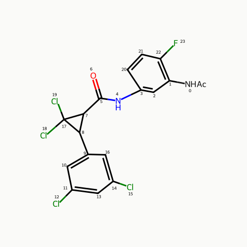 CC(=O)Nc1cc(NC(=O)C2C(c3cc(Cl)cc(Cl)c3)C2(Cl)Cl)ccc1F